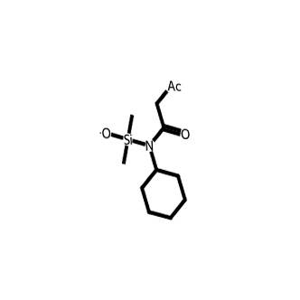 CC(=O)CC(=O)N(C1CCCCC1)[Si](C)(C)[O]